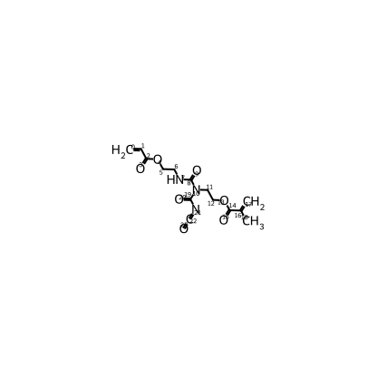 C=CC(=O)OCCNC(=O)N(CCOC(=O)C(=C)C)C(=O)N=C=O